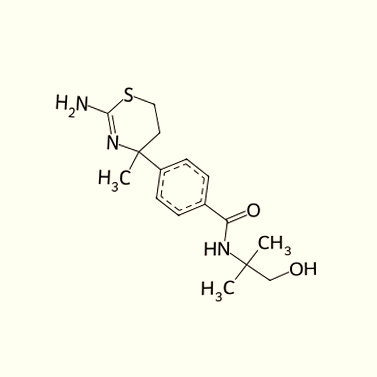 CC(C)(CO)NC(=O)c1ccc(C2(C)CCSC(N)=N2)cc1